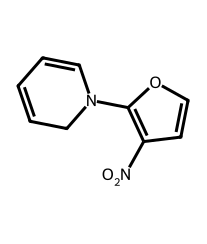 O=[N+]([O-])c1ccoc1N1C=CC=CC1